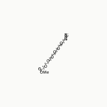 COC(=O)CCOCCOCCOCCOCCOCCOCCN=[N+]=[N-]